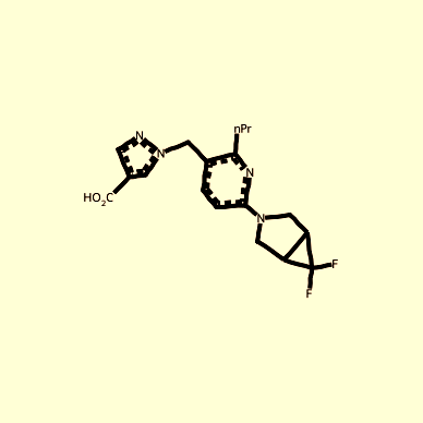 CCCc1nc(N2CC3C(C2)C3(F)F)ccc1Cn1cc(C(=O)O)cn1